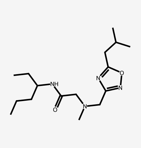 CCCC(CC)NC(=O)CN(C)Cc1noc(CC(C)C)n1